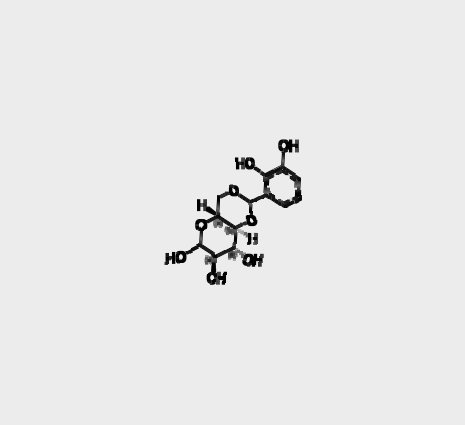 Oc1cccc(C2OC[C@H]3OC(O)[C@H](O)[C@@H](O)[C@@H]3O2)c1O